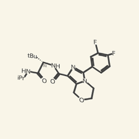 CC(C)NC(=O)[C@@H](NC(=O)c1nc(-c2ccc(F)c(F)c2)n2c1COCC2)C(C)(C)C